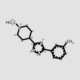 Cc1cccc(-c2noc(C3CCN(C(=O)O)CC3)n2)c1